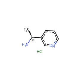 Cl.N[C@H](c1cccnc1)C(F)(F)F